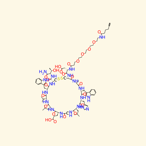 C#CCCCC(=O)NCCOCCOCCOCCOCCC(=O)N[C@@H](CC(=O)O)C(=O)N[C@H]1CSSC[C@@H](C(=O)N[C@H](C(N)=O)[C@@H](C)O)NC(=O)[C@H](Cc2c[nH]c3ccccc23)NC(=O)[C@H](C(C)C)NC(=O)[C@H](CC(C)C)NC(=O)[C@H](CCC(=O)O)NC(=O)CNC(=O)[C@H](CC(C)C)NC(=O)[C@H](Cc2cnc[nH]2)NC(=O)[C@H](Cc2c[nH]c3ccccc23)NC(=O)[C@H](C)NC1=O